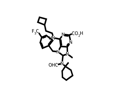 CN1c2nc(C(=O)O)nc(NCCC3CCC3)c2N(Cc2ccc(C(F)(F)F)cc2)C1N(C=O)C1(C)CCCCC1